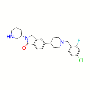 O=C1c2ccc(C3CCN(Cc4ccc(Cl)cc4F)CC3)cc2CN1C1CCCNC1